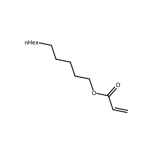 [CH2]CCCCCCCCCCOC(=O)C=C